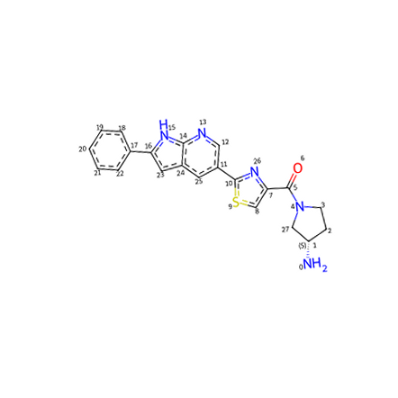 N[C@H]1CCN(C(=O)c2csc(-c3cnc4[nH]c(-c5ccccc5)cc4c3)n2)C1